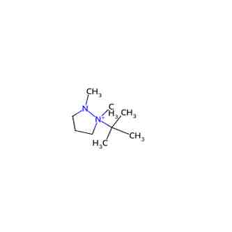 CN1CCC[N+]1(C)C(C)(C)C